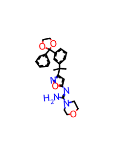 CC(C)(c1cccc(C2(c3ccccc3)OCCO2)c1)c1cc(/N=C(\N)N2CCOCC2)on1